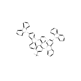 FC(F)(F)c1ccc(-c2cnccc2-n2c3ccccc3c3cc(-n4c5ccccc5c5ccccc54)ccc32)c(-n2c3ccccc3c3cc(-n4c5ccccc5c5ccccc54)ccc32)c1